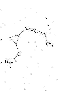 CN=C=NC1CC1OC